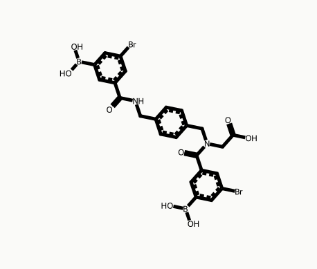 O=C(O)CN(Cc1ccc(CNC(=O)c2cc(Br)cc(B(O)O)c2)cc1)C(=O)c1cc(Br)cc(B(O)O)c1